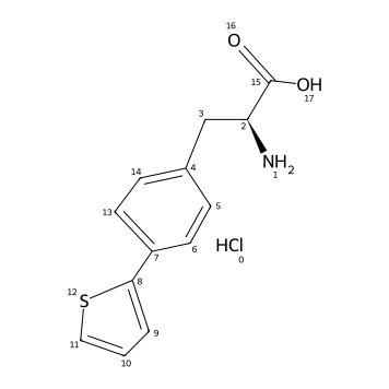 Cl.N[C@@H](Cc1ccc(-c2cccs2)cc1)C(=O)O